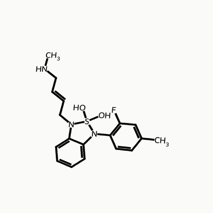 CNCC=CCN1c2ccccc2N(c2ccc(C)cc2F)S1(O)O